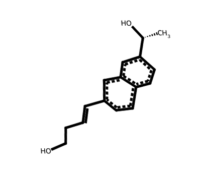 C[C@@H](O)c1ccc2ccc(/C=C/CCO)cc2c1